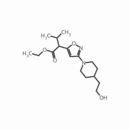 CCOC(=O)C(c1cc(N2CCC(CCO)CC2)no1)C(C)C